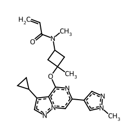 C=CC(=O)N(C)C1CC(C)(Oc2nc(-c3cnn(C)c3)cn3ncc(C4CC4)c23)C1